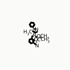 Cc1c(N(Cc2cccc(C#N)c2)C(=O)OC(C)(C)C)cnn1-c1ccccc1